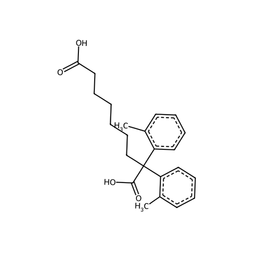 Cc1ccccc1C(CCCCCCC(=O)O)(C(=O)O)c1ccccc1C